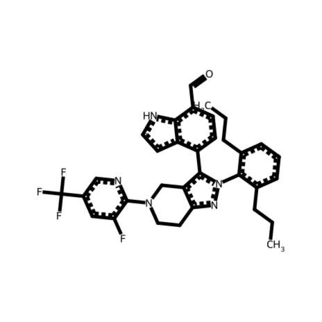 CCCc1cccc(CCC)c1-n1nc2c(c1-c1ccc(C=O)c3[nH]ccc13)CN(c1ncc(C(F)(F)F)cc1F)CC2